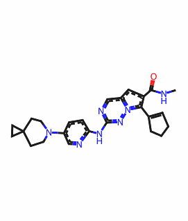 CNC(=O)c1cc2cnc(Nc3ccc(N4CCC5(CC4)CC5)cn3)nn2c1C1=CCCC1